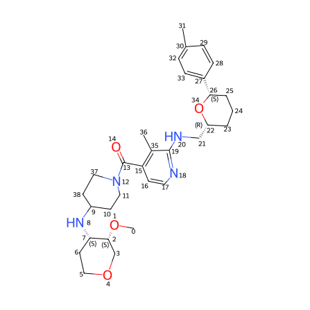 CO[C@@H]1COCC[C@@H]1NC1CCN(C(=O)c2ccnc(NC[C@H]3CCC[C@@H](c4ccc(C)cc4)O3)c2C)CC1